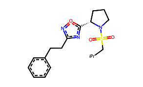 CC(C)CS(=O)(=O)N1CCC[C@H]1c1nc(CCc2ccccc2)no1